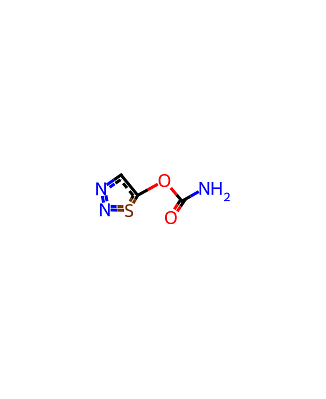 NC(=O)Oc1cnns1